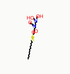 CCCCCCCCCCCCCCSSSCCOC(=O)CCN(CCC=O)CCCN(CCO)CCO